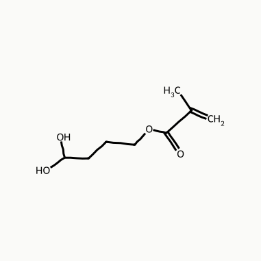 C=C(C)C(=O)OCCCC(O)O